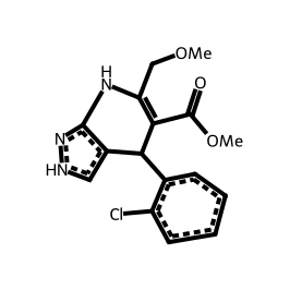 COCC1=C(C(=O)OC)C(c2ccccc2Cl)c2c[nH]nc2N1